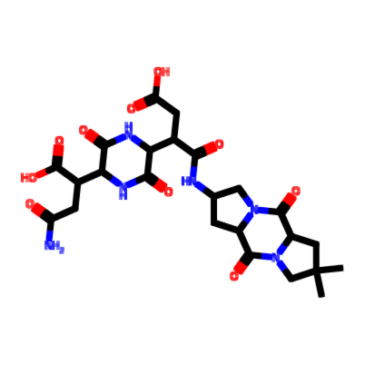 CC1(C)CC2C(=O)N3CC(NC(=O)C(CC(=O)O)C4NC(=O)C(C(CC(N)=O)C(=O)O)NC4=O)CC3C(=O)N2C1